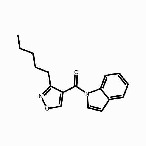 CCCCCc1nocc1C(=O)n1ccc2ccccc21